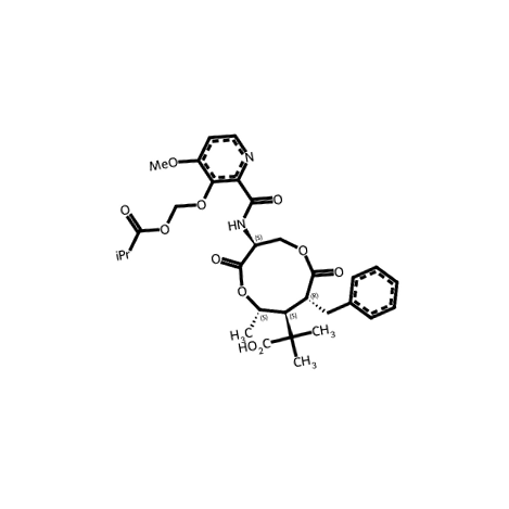 COc1ccnc(C(=O)N[C@H]2COC(=O)[C@H](Cc3ccccc3)[C@@H](C(C)(C)C(=O)O)[C@H](C)OC2=O)c1OCOC(=O)C(C)C